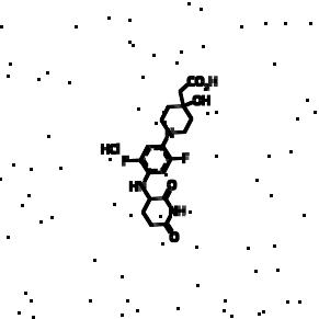 Cl.O=C(O)CC1(O)CCN(c2cc(F)c(NC3CCC(=O)NC3=O)cc2F)CC1